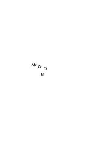 [Cr].[Mo].[Ni].[Ti]